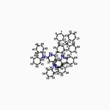 c1ccc([Si](c2ccccc2)(c2ccccc2)c2ccc(-c3cc(-n4c5ccccc5c5ccccc54)cc(-n4c5ccccc5c5ccccc54)n3)c(-n3c4ccccc4c4ccccc43)c2)cc1